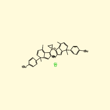 CC1=C2C(=CC(C(C)C)=[C]2[Zr+2]2([C]3=C(C(C)C)C=C4C3=C(C)C=CC4(C)c3ccc(C(C)(C)C)cc3)[CH2][CH2]2)C(C)(c2ccc(C(C)(C)C)cc2)C=C1.[Cl-].[Cl-]